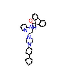 O=C(Nc1ccccn1)C1(CCCCN2CCN(c3ccc(-c4ccccc4)cc3)CC2)c2ccccc2-c2ccccc21